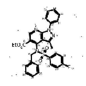 CCOC(=O)c1cnc2c(c(C)nn2-c2ccccc2)c1N(Cc1ccccc1)S(=O)(=O)c1ccc(F)cc1